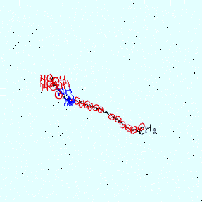 CC(=O)CCOCCOCCOCCOCCOCCCCCOCCOCCOCCOCCOCCOCCn1cc(CCC(=O)NC[C@H](O)[C@@H](O)[C@H](O)[C@H](O)CO)nn1